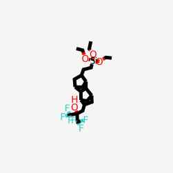 CCO[Si](CCC1CC2CC1C1C3CC(CC(O)(C(F)(F)F)C(F)(F)F)C(C3)C21)(OCC)OCC